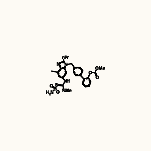 CCCc1nc2c(C)cc(NC(=NS(N)(=O)=O)NC)cc2n1Cc1ccc(-c2ccccc2OC(=O)OC)cc1